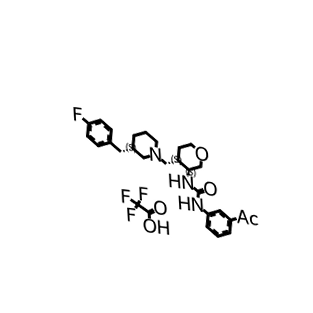 CC(=O)c1cccc(NC(=O)N[C@@H]2COCC[C@H]2CN2CCC[C@@H](Cc3ccc(F)cc3)C2)c1.O=C(O)C(F)(F)F